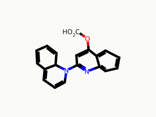 O=C(O)Oc1cc(N2C=CC=C3C=CC=CC32)nc2ccccc12